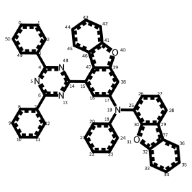 c1ccc(-c2nc(-c3ccccc3)nc(-c3cc(N(c4ccccc4)c4cccc5c4oc4ccccc45)cc4oc5ccccc5c34)n2)cc1